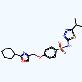 CC(C)c1nnc(NS(=O)(=O)c2ccc(OCc3coc(C4CCCCC4)n3)cc2)s1